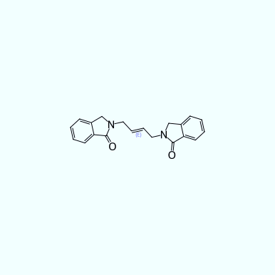 O=C1c2ccccc2CN1C/C=C/CN1Cc2ccccc2C1=O